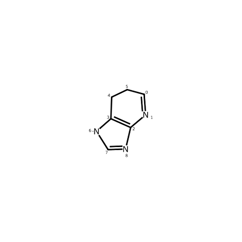 C1=NC2=C(CC1)[N]C=N2